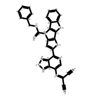 N#CC(C#N)=Nc1cnc(-c2cc3c(s2)c2sc4ccccc4c2n3C(=O)OCc2ccccc2)c2nsnc12